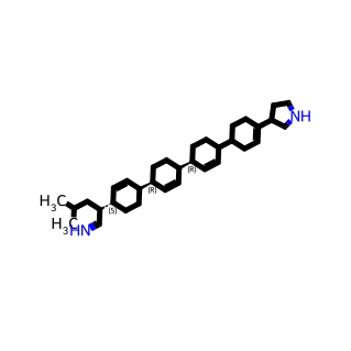 CC(C)CC(C=N)[C@@H]1C=CC([C@@H]2C=CC([C@@H]3C=CC(C4CC=C(C5CCNC5)CC4)CC3)CC2)CC1